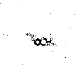 O=C(O)C1COc2cc(OBO)ccc2CN1